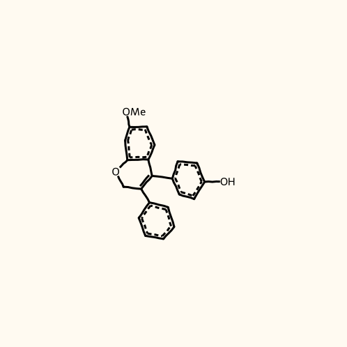 COc1ccc2c(c1)OCC(c1ccccc1)=C2c1ccc(O)cc1